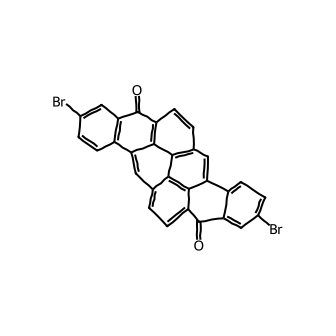 O=c1c2cc(Br)ccc2c2cc3ccc4c(=O)c5cc(Br)ccc5c5cc6ccc1c2c6c3c45